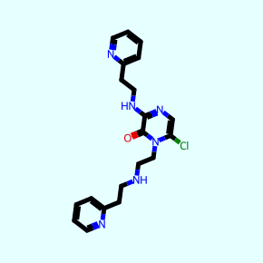 O=c1c(NCCc2ccccn2)ncc(Cl)n1CCNCCc1ccccn1